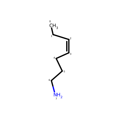 CC/C=C\CCCN